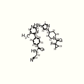 Cc1cnc(Nc2cnn(C3CCN(C(=O)C4(F)CC4)CC3)c2)nc1-c1ccc(C(=O)NCC#N)cc1